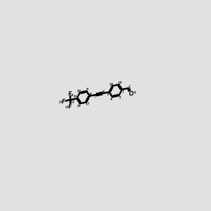 O=[C]c1ccc(C#Cc2ccc(C(F)(F)F)cc2)cc1